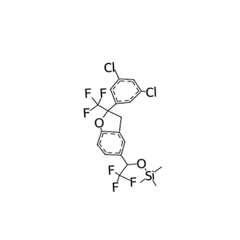 C[Si](C)(C)OC(c1ccc2c(c1)CC(c1cc(Cl)cc(Cl)c1)(C(F)(F)F)O2)C(F)(F)F